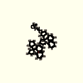 [Cl][Pd][Cl].[Fe].c1ccc(P2CCCC2(c2ccccc2)C2CCCC2)cc1.c1ccc(P2CCCC2(c2ccccc2)C2CCCC2)cc1